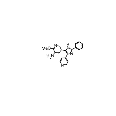 COC1=NCC(c2[nH]c(-c3ccccc3)nc2-c2ccncc2)C=C1N